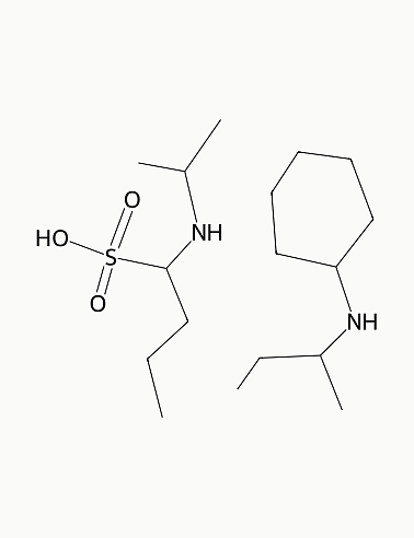 CCC(C)NC1CCCCC1.CCCC(NC(C)C)S(=O)(=O)O